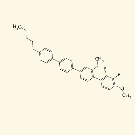 CCCCCc1ccc(-c2ccc(-c3ccc(-c4ccc(OC)c(F)c4F)c(CC)c3)cc2)cc1